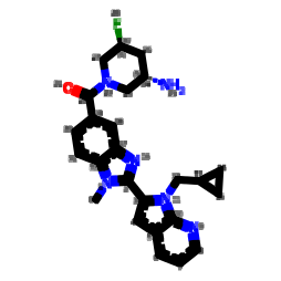 Cn1c(-c2cc3cccnc3n2CC2CC2)nc2cc(C(=O)N3C[C@@H](N)C[C@H](F)C3)ccc21